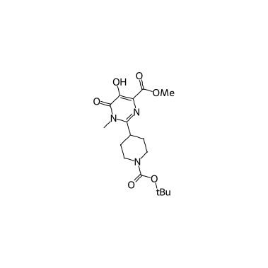 COC(=O)c1nc(C2CCN(C(=O)OC(C)(C)C)CC2)n(C)c(=O)c1O